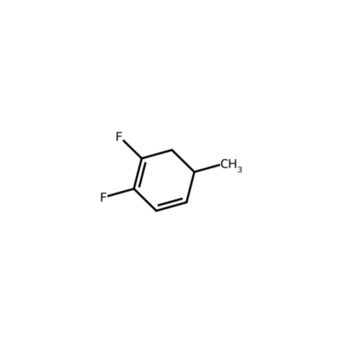 CC1C=CC(F)=C(F)C1